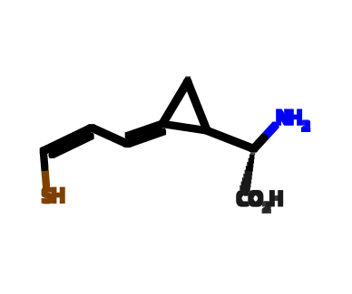 N[C@H](C(=O)O)C1C/C1=C\C=C/S